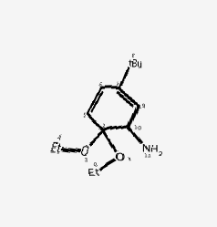 CCOC1(OCC)C=CC(C(C)(C)C)=CC1N